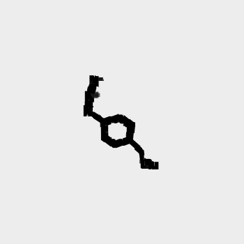 CC(C)(C)Cc1ccc(N=[N+]=[N-])cc1